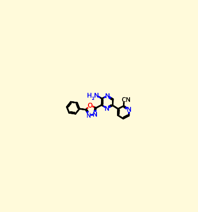 N#Cc1ncccc1-c1cnc(N)c(-c2nnc(-c3ccccc3)o2)n1